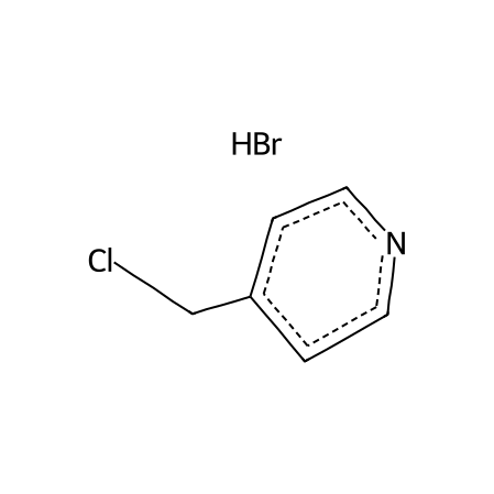 Br.ClCc1ccncc1